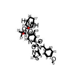 COc1ccc(CN(c2cscn2)S(=O)(=O)c2cc(C)c(N(C)C3C[C@H]4CC[C@@H](C3)N4C(=O)OC(C)(C)C)cn2)cc1